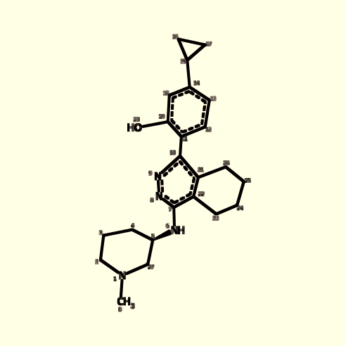 CN1CCC[C@@H](Nc2nnc(-c3ccc(C4CC4)cc3O)c3c2CCCC3)C1